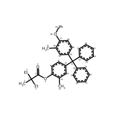 CCC(C)(CC)C(=O)Oc1ccc(C(c2ccccc2)(c2ccccc2)c2ccc(OC(C)C)c(C)c2)cc1C